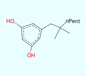 CCCCCC(C)(C)Cc1cc(O)cc(O)c1